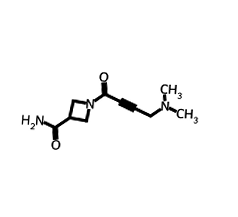 CN(C)CC#CC(=O)N1CC(C(N)=O)C1